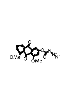 COc1cccc2c1C(=O)c1c(OC)cc(OC(=O)N=[N+]=[N-])cc1C2=O